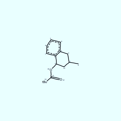 CC1Cc2ccccc2C(OC(=O)C(C)(C)C)C1